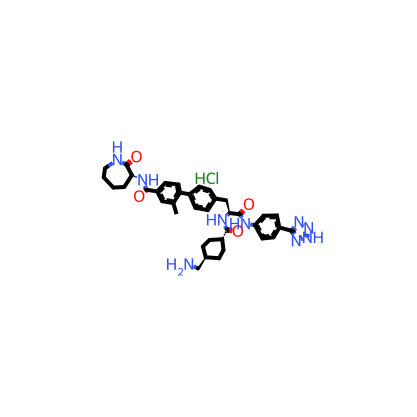 Cc1cc(C(=O)N[C@@H]2CCCCNC2=O)ccc1-c1ccc(C[C@H](NC(=O)[C@H]2CC[C@H](CN)CC2)C(=O)Nc2ccc(-c3nn[nH]n3)cc2)cc1.Cl